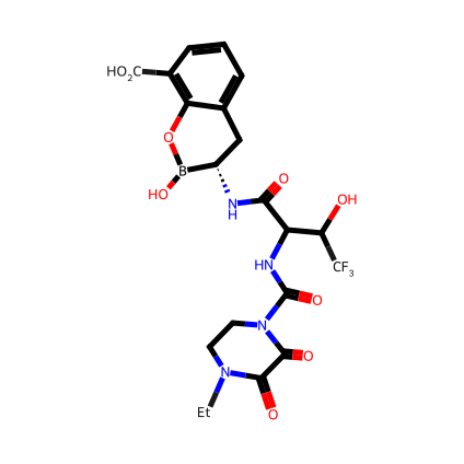 CCN1CCN(C(=O)NC(C(=O)N[C@H]2Cc3cccc(C(=O)O)c3OB2O)C(O)C(F)(F)F)C(=O)C1=O